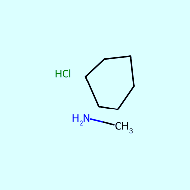 C1CCCCC1.CN.Cl